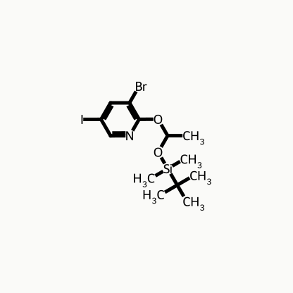 CC(Oc1ncc(I)cc1Br)O[Si](C)(C)C(C)(C)C